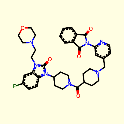 O=C(C1CCN(Cc2ccnc(N3C(=O)c4ccccc4C3=O)c2)CC1)N1CCC(n2c(=O)n(CCN3CCOCC3)c3cc(F)ccc32)CC1